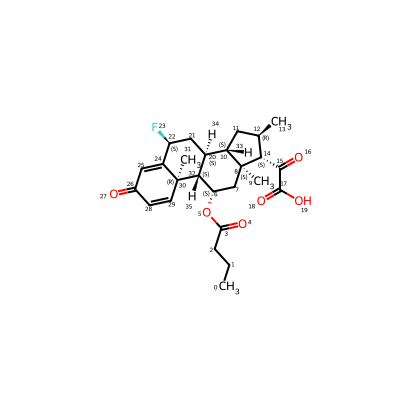 CCCC(=O)O[C@H]1C[C@@]2(C)[C@@H](C[C@@H](C)[C@@H]2C(=O)C(=O)O)[C@@H]2C[C@H](F)C3=CC(=O)C=C[C@]3(C)[C@H]21